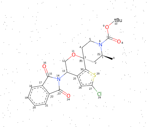 C[C@H]1C[C@@]2(CCN1C(=O)OC(C)(C)C)OCC(N1C(=O)c3ccccc3C1=O)c1cc(Cl)sc12